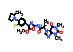 COc1oc(NC(=O)C(C)n2cnc3c2c(=O)n(C)c(=O)n3C)nc1-c1ccc(N2CCCC2C)c(F)c1